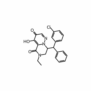 CCN1CC(C(c2ccccc2)c2cccc(Cl)c2)n2ncc(=O)c(O)c2C1=O